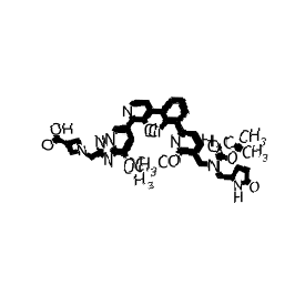 COc1nc(-c2cccc(-c3ccnc(-c4cc(OC)c5nc(CN6CC(C(=O)O)C6)nn5c4)c3Cl)c2Cl)ccc1CN(CC1CCC(=O)N1)C(=O)OC(C)(C)C